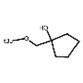 CC(C)(C)OCC1(O)CCCC1